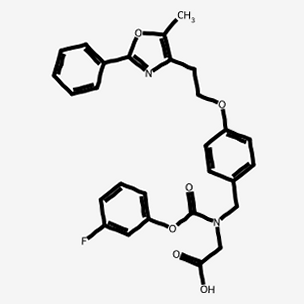 Cc1oc(-c2ccccc2)nc1CCOc1ccc(CN(CC(=O)O)C(=O)Oc2cccc(F)c2)cc1